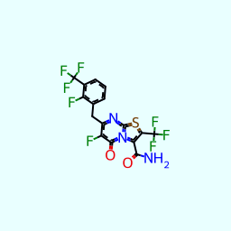 NC(=O)c1c(C(F)(F)F)sc2nc(Cc3cccc(C(F)(F)F)c3F)c(F)c(=O)n12